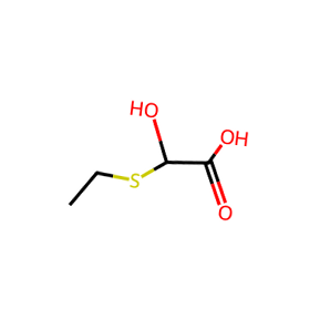 CCSC(O)C(=O)O